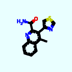 Cc1c(-c2cscn2)c(C(N)=O)nc2ccccc12